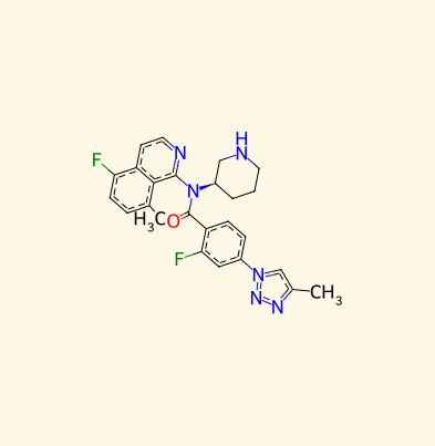 Cc1cn(-c2ccc(C(=O)N(c3nccc4c(F)ccc(C)c34)[C@@H]3CCCNC3)c(F)c2)nn1